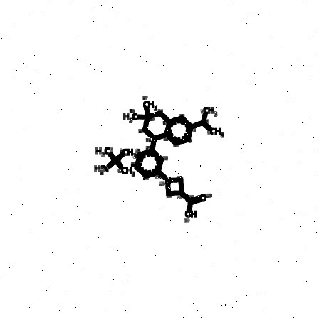 CC(C)(C)N.CC(C)c1ccc2c(c1)CC(C)(C)CN2c1cccc(N2CC(C(=O)O)C2)c1